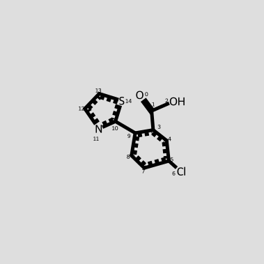 O=C(O)c1cc(Cl)ccc1-c1nccs1